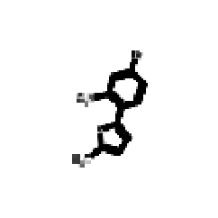 Cc1ccc(-c2ccc(Br)cc2[N+](=O)[O-])s1